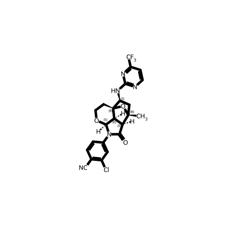 C[C@@]12C[C@H](Nc3nccc(C(F)(F)F)n3)[C@]3(CCO[C@H]4[C@@H]3[C@@H]1C(=O)N4c1ccc(C#N)c(Cl)c1)O2